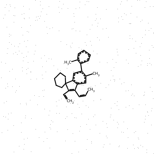 C=CC1=C(/C=C\C)c2cc(C)c(-c3ccccc3C)cc2C12CCCCC2